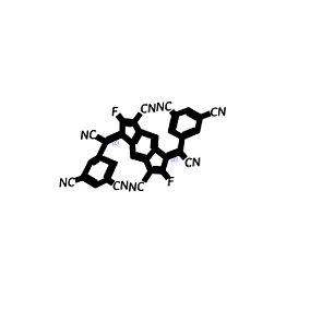 N#CC1=C(F)/C(=C(\C#N)c2cc(C#N)cc(C#N)c2)c2cc3c(cc21)/C(=C(/C#N)c1cc(C#N)cc(C#N)c1)C(F)=C3C#N